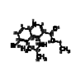 CCOC(=O)c1cnc2ccc(Br)cc2c1NC(C)C